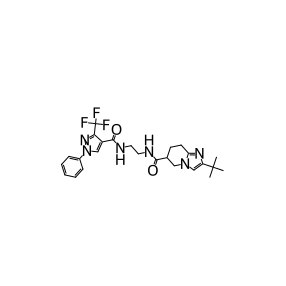 CC(C)(C)c1cn2c(n1)CCC(C(=O)NCCNC(=O)c1cn(-c3ccccc3)nc1C(F)(F)F)C2